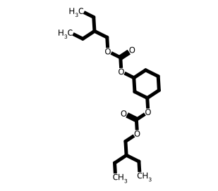 CCC(CC)COC(=O)OC1CCCC(OC(=O)OCC(CC)CC)C1